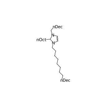 CCCCCCCCCCCCCCCCCCN1C=CN(CCCCCCCCCCC)C1CCCCCCCC